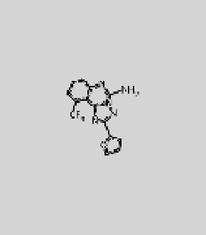 Nc1nc2cccc(C(F)(F)F)c2c2nc(-c3ccco3)nn12